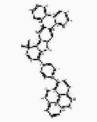 CC1(C)C=CC(c2ccc(-c3ccc4ccc5cccc6ccc3c4c56)cc2)=C2C=c3cc4c5ccccc5c5ccccc5c4cc3=C21